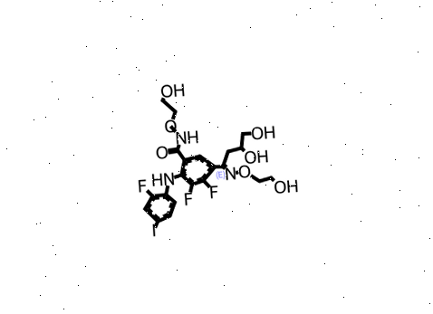 O=C(NOCCO)c1cc(/C(CC(O)CO)=N/OCCO)c(F)c(F)c1Nc1ccc(I)cc1F